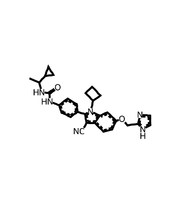 CC(NC(=O)Nc1ccc(-c2c(C#N)c3ccc(OCc4ncc[nH]4)cc3n2C2CCC2)cc1)C1CC1